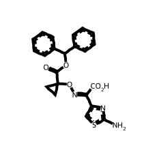 Nc1nc(/C(=N/OC2(C(=O)OC(c3ccccc3)c3ccccc3)CC2)C(=O)O)cs1